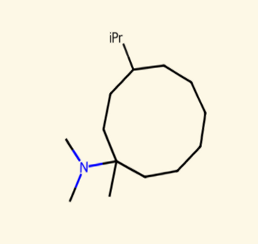 CC(C)C1CCCCCCC(C)(N(C)C)CC1